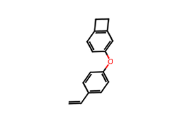 C=Cc1ccc(Oc2ccc3c(c2)CC3)cc1